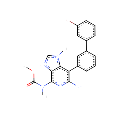 CN(C(=O)OC(C)(C)C)c1nc(N)c(-c2cccc(-c3cccc(Br)c3)c2)c2c1ncn2C